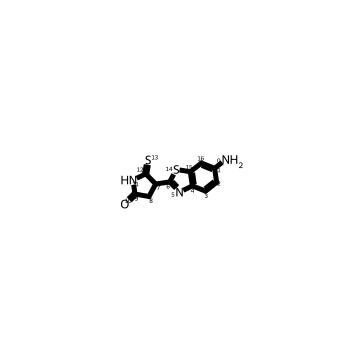 Nc1ccc2nc(C3CC(=O)NC3=S)sc2c1